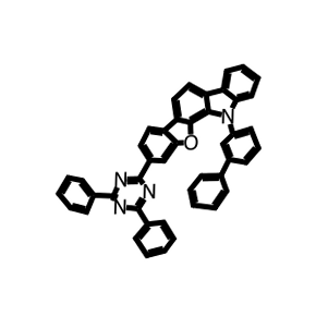 c1ccc(-c2cccc(-n3c4ccccc4c4ccc5c6ccc(-c7nc(-c8ccccc8)nc(-c8ccccc8)n7)cc6oc5c43)c2)cc1